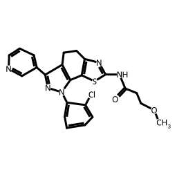 COCCC(=O)Nc1nc2c(s1)-c1c(c(-c3cccnc3)nn1-c1ccccc1Cl)CC2